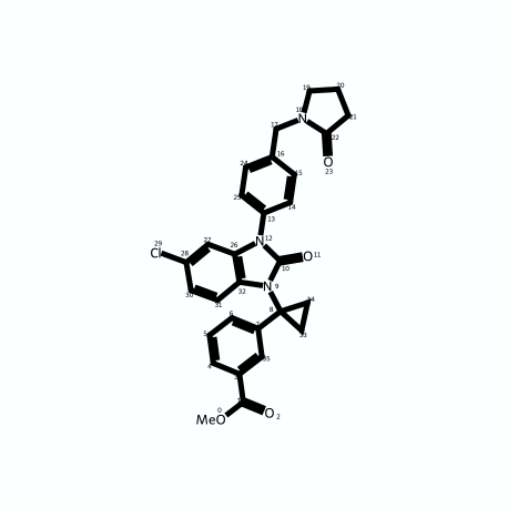 COC(=O)c1cccc(C2(n3c(=O)n(-c4ccc(CN5CCCC5=O)cc4)c4cc(Cl)ccc43)CC2)c1